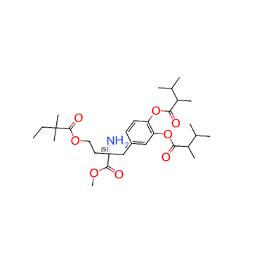 CCC(C)(C)C(=O)OCC[C@@](N)(Cc1ccc(OC(=O)C(C)C(C)C)c(OC(=O)C(C)C(C)C)c1)C(=O)OC